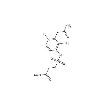 COC(=O)CCS(=O)(=O)Nc1ccc(F)c(CC(N)=O)c1C(F)(F)F